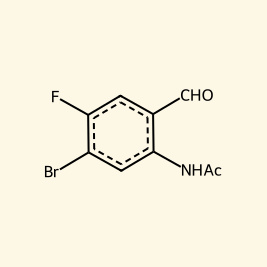 CC(=O)Nc1cc(Br)c(F)cc1C=O